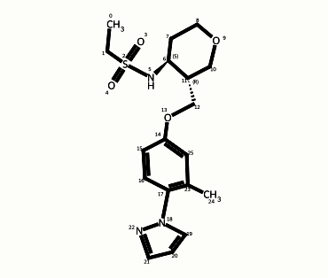 CCS(=O)(=O)N[C@H]1CCOC[C@@H]1COc1ccc(-n2cccn2)c(C)c1